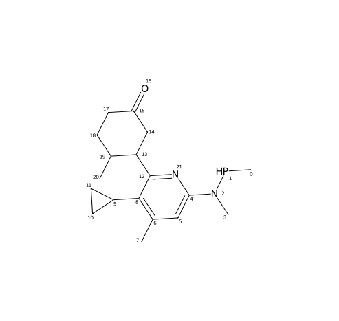 CPN(C)c1cc(C)c(C2CC2)c(C2CC(=O)CCC2C)n1